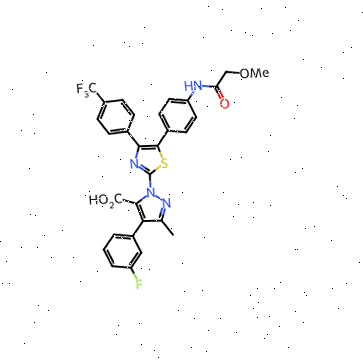 COCC(=O)Nc1ccc(-c2sc(-n3nc(C)c(-c4cccc(F)c4)c3C(=O)O)nc2-c2ccc(C(F)(F)F)cc2)cc1